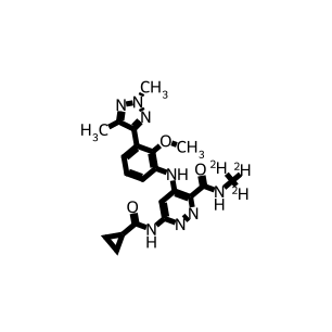 [2H]C([2H])([2H])NC(=O)c1nnc(NC(=O)C2CC2)cc1Nc1cccc(-c2nn(C)nc2C)c1OC